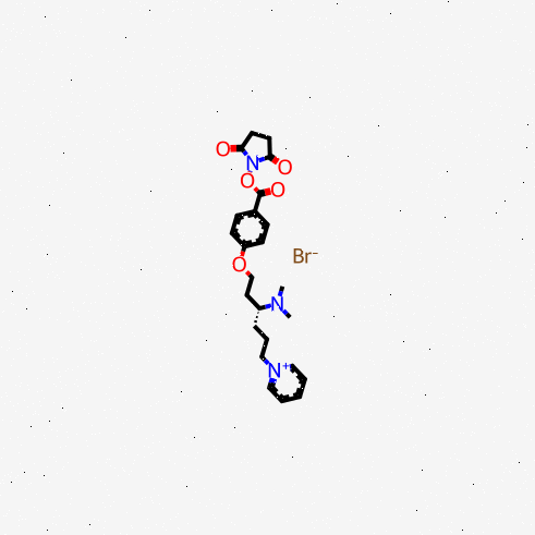 CN(C)[C@H](CCC[n+]1ccccc1)CCOc1ccc(C(=O)ON2C(=O)CCC2=O)cc1.[Br-]